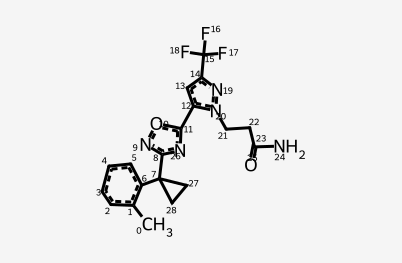 Cc1ccccc1C1(c2noc(-c3cc(C(F)(F)F)nn3CCC(N)=O)n2)CC1